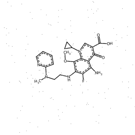 COc1c(NCCN(C)c2ccccn2)c(F)c(N)c2c(=O)c(C(=O)O)cn(C3CC3)c12